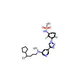 CCCN(CCCC(CC)C1CCCC1)c1cncc(-c2cn(-c3c(F)ccc(NS(=O)(=O)CCC)c3F)nn2)c1